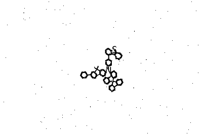 CC1(C)c2cc(-c3ccccc3)ccc2-c2ccc(N(c3ccc(-c4cccc5sc6ccccc6c45)cc3)c3cccc4c3-c3ccccc3C43c4ccccc4-c4ccccc43)cc21